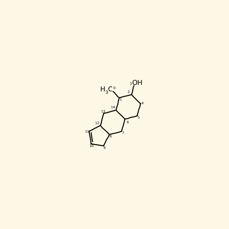 CC1C(O)CCC2CC3CC=CC3CC21